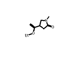 C=C(OCC)C1CC(=O)N(C)C1